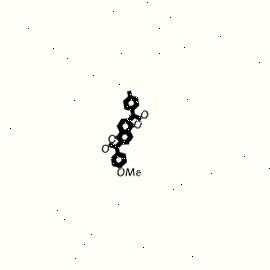 COc1ccc(C2=c3ccc4c5c(ccc4c3OC2=O)=C(c2ccc(C)cc2)C(=O)O5)cc1